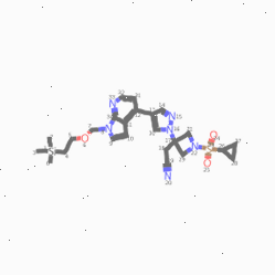 C[Si](C)(C)CCOCn1ccc2c(-c3cnn(C4(CC#N)CN(S(=O)(=O)C5CC5)C4)c3)ccnc21